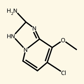 COC1=C(Cl)C=CN2NC(N)N=C12